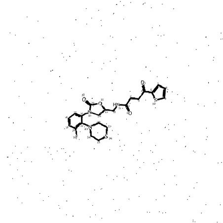 O=C(CCC(=O)c1cccs1)NCC1CN(c2cccc(F)c2N2CCSCC2)C(=O)O1